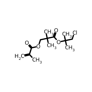 C=C(C)C(=O)OCC(C)(C)C(=O)OC(C)(C)CCl